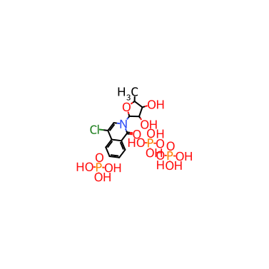 CC1OC(n2cc(Cl)c3ccccc3c2=O)C(O)C1O.O=P(O)(O)O.O=P(O)(O)O.O=P(O)(O)O